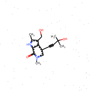 Cc1[nH]c2c(=O)n(C)cc(C#CC(C)(C)O)c2c1CO